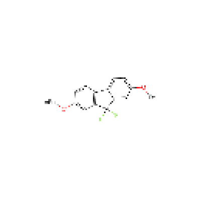 CCCCOc1ccc2c(c1)C(F)(F)c1cc(OCC)ccc1-2